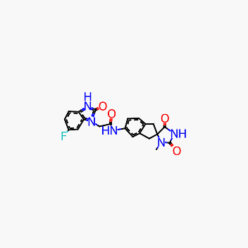 CN1C(=O)NC(=O)C12Cc1ccc(NC(=O)Cn3c(=O)[nH]c4ccc(F)cc43)cc1C2